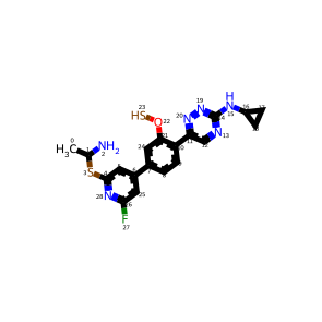 CC(N)Sc1cc(-c2ccc(-c3cnc(NC4CC4)nn3)c(OS)c2)cc(F)n1